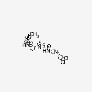 Cn1cnc(S(=O)(=O)Nc2cccc(-c3csc(SCC(=O)NC4CCN(Cc5ccc(Cl)c(Cl)c5)CC4)n3)c2)c1